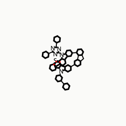 c1ccc(-c2cccc(-n3c4ccccc4c4cc(-c5ccc6c(c5)-c5c(cccc5-c5ccc7c(c5)c5ccc8c9ccccc9sc8c5n7-c5nc(-c7ccccc7)nc(-c7ccccc7)n5)C6)ccc43)c2)cc1